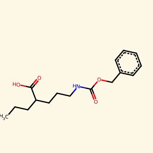 CCCC(CCCNC(=O)OCc1ccccc1)C(=O)O